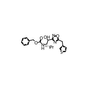 CC(C)[C@H](NC(=O)OCc1ccccc1)C(O)c1noc(Cc2ccsc2)n1